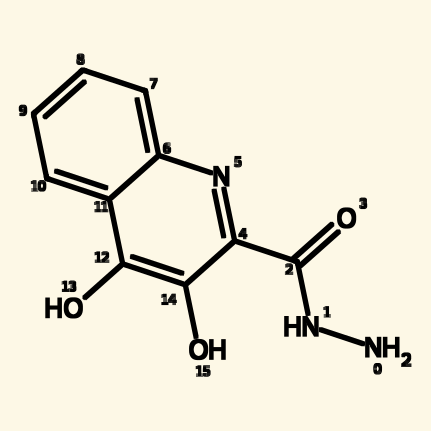 NNC(=O)c1nc2ccccc2c(O)c1O